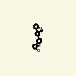 CC1(C)Oc2ccccc2-c2ccc(-c3ccc4sc5c(Cl)cccc5c4c3)cc21